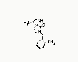 CC1=CC=CCC1CN1CCC2(NCC2C)C1=O